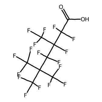 O=C(O)C(F)(F)C(F)(C(F)(F)F)C(F)(F)C(C(F)(F)F)(C(F)(F)F)C(F)(F)F